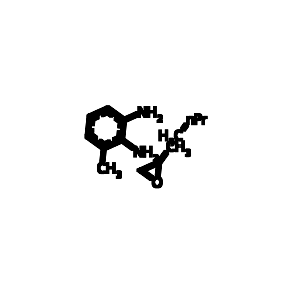 CC1CO1.CCCC.Cc1cccc(N)c1N